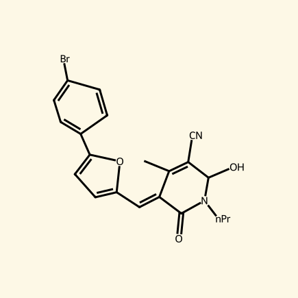 CCCN1C(=O)/C(=C/c2ccc(-c3ccc(Br)cc3)o2)C(C)=C(C#N)C1O